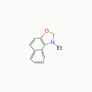 CCN1COc2ccc3ccccc3c21